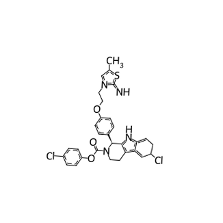 Cc1cn(CCOc2ccc([C@H]3c4[nH]c5c(c4CCN3C(=O)Oc3ccc(Cl)cc3)=CC(Cl)CC=5)cc2)c(=N)s1